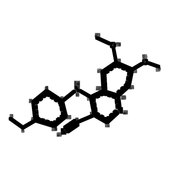 CCc1ccc(Nc2c(C#N)cnc3cc(OC)c(OC)cc23)cc1